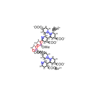 COP1OCCO1.COP1OCCO1.O=C([O-])c1ccnc(-c2nccc(C(=O)[O-])c2-c2cc(C(=O)[O-])ccn2)c1.O=C([O-])c1ccnc(-c2nccc(C(=O)[O-])c2-c2cc(C(=O)[O-])ccn2)c1.[Ru+2].[Ru+2].[Ru+2]